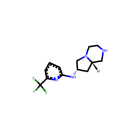 FC(F)(F)c1cccc(N[C@H]2C[C@H]3CNCCN3C2)n1